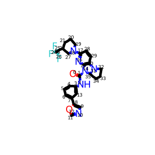 O=C(Nc1cccc(-c2cnco2)c1)N1c2nc(N3CCCC(C(F)(F)F)C3)ccc2N2CCCC21